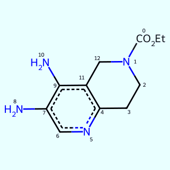 CCOC(=O)N1CCc2ncc(N)c(N)c2C1